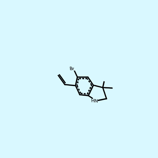 C=Cc1cc2c(cc1Br)C(C)(C)CN2